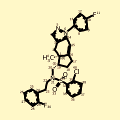 C[C@]12Cc3cnn(-c4ccc(F)cc4)c3C=C1CC[C@@H]2CN(CCc1ccccc1F)S(=O)(=O)c1ccccc1Cl